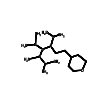 BB(B)B(B)B(B(B)B)N(CCC1CCOCC1)B(B)B